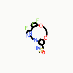 CS(=N)(=O)Cc1cc2cc(c1)OCCCCOc1c(F)ccc(c1F)-c1nc(ncc1F)/C=N/2